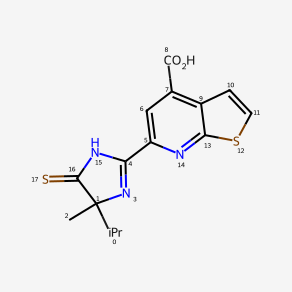 CC(C)C1(C)N=C(c2cc(C(=O)O)c3ccsc3n2)NC1=S